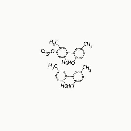 Cc1ccc(O)c(-c2cc(C)ccc2O)c1.Cc1ccc(O)c(-c2cc(C)ccc2O)c1.O=S=O